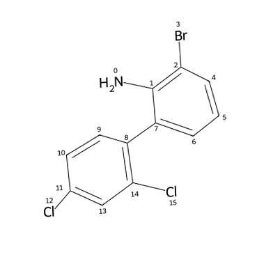 Nc1c(Br)cccc1-c1ccc(Cl)cc1Cl